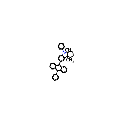 CC12CCCCC1(C)N(c1ccccc1)c1ccc(-c3c4ccccc4c(-c4ccccc4)c4ccccc34)cc12